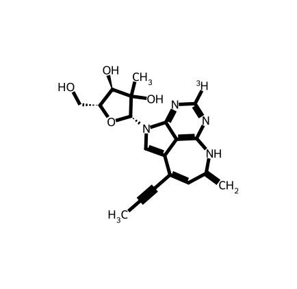 [3H]c1nc2[nH]c(=C)cc(C#CC)c3cn([C@@H]4O[C@H](CO)[C@@H](O)C4(C)O)c(n1)c23